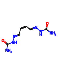 NC(=O)N/N=C/C=C\C=N\NC(N)=O